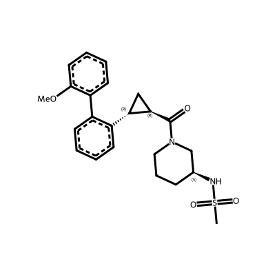 COc1ccccc1-c1ccccc1[C@@H]1C[C@H]1C(=O)N1CCC[C@H](NS(C)(=O)=O)C1